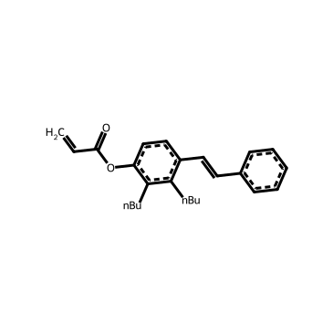 C=CC(=O)Oc1ccc(C=Cc2ccccc2)c(CCCC)c1CCCC